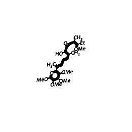 CC[C@H](OC)[C@@H](C)[C@H]1O[C@@H]1[C@@H](O)[C@H](C)/C=C/C=C(\C)[C@@H]1O[C@H](OC)[C@H](OC)[C@@H](OC)[C@@H]1OC